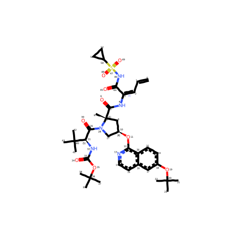 C=C/C=C(/NC(=O)[C@]1(C)C[C@@H](Oc2nccc3cc(OC(C)(C)C)ccc23)CN1C(=O)[C@@H](NC(=O)OC(C)(C)C)C(C)(C)C)C(=O)NS(=O)(=O)C1CC1